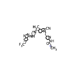 C/C=C/C(=O)Nc1ccc(CCn2c(C#N)cc3c(C)c(CN4CCC(Nc5ncnc6sc(CC(F)(F)F)cc56)CC4)ccc32)cn1